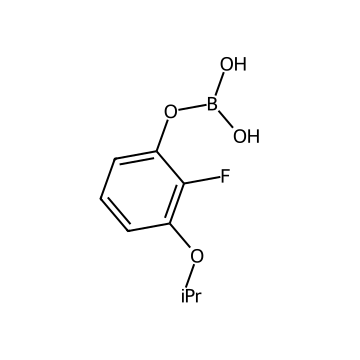 CC(C)Oc1cccc(OB(O)O)c1F